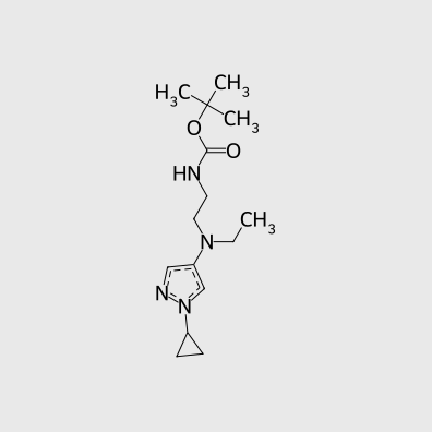 CCN(CCNC(=O)OC(C)(C)C)c1cnn(C2CC2)c1